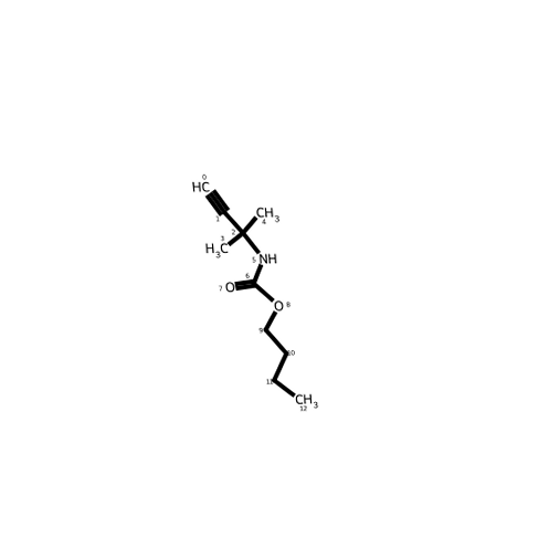 C#CC(C)(C)NC(=O)OCCCC